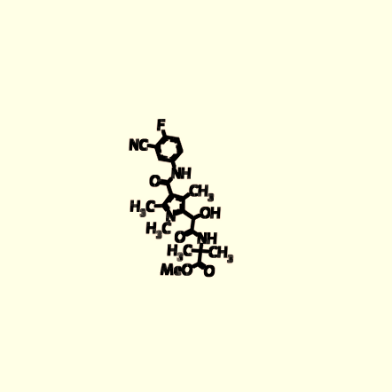 COC(=O)C(C)(C)NC(=O)C(O)c1c(C)c(C(=O)Nc2ccc(F)c(C#N)c2)c(C)n1C